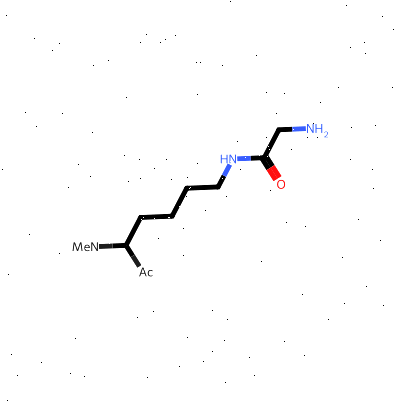 CNC(CCCCNC(=O)CN)C(C)=O